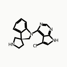 Clc1c[nH]c2ncnc(N3C[C@]4(CCNC4)c4ccccc43)c12